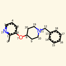 Cc1ncccc1OC1CCN(Cc2ccccc2)CC1